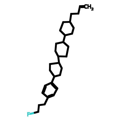 C=CCCC1CCC(C2CCC(C3CCC(c4ccc(CCCF)cc4)CC3)CC2)CC1